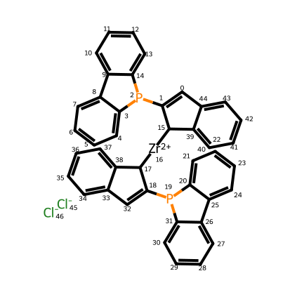 C1=C(p2c3ccccc3c3ccccc32)[CH]([Zr+2][CH]2C(p3c4ccccc4c4ccccc43)=Cc3ccccc32)c2ccccc21.[Cl-].[Cl-]